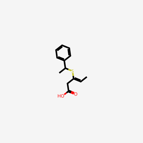 C/C=C(/CC(=O)O)SC(C)c1ccccc1